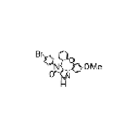 COc1ccc2c(c1)Oc1ccccc1C1c3c-2n[nH]c3C(=O)N1c1ccc(Br)cc1